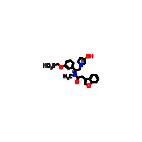 CN(C(=O)Cc1coc2ccccc12)[C@H](CN1CC[C@H](O)C1)c1cccc(OCS(=O)(=O)O)c1